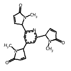 CN1C(=O)C=CC1c1cc(C2C=CC(=O)N2C)nc(C2C=CC(=O)N2C)c1